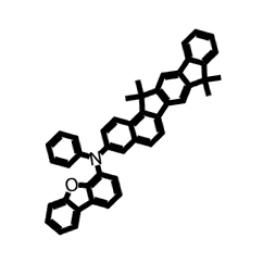 CC1(C)c2ccccc2-c2cc3c(cc21)-c1ccc2cc(N(c4ccccc4)c4cccc5c4oc4ccccc45)ccc2c1C3(C)C